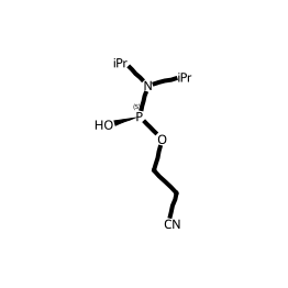 CC(C)N(C(C)C)[P@](O)OCCC#N